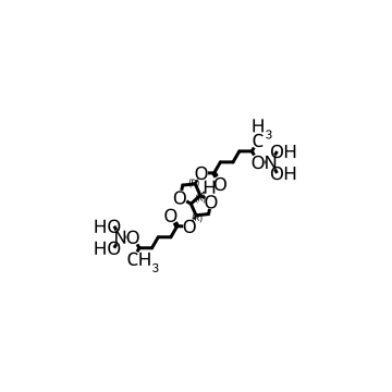 CC(CCCC(=O)O[C@@H]1CO[C@H]2C1OC[C@H]2OC(=O)CCCC(C)ON(O)O)ON(O)O